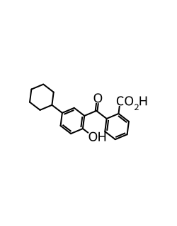 O=C(O)c1ccccc1C(=O)c1cc(C2CCCCC2)ccc1O